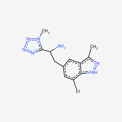 CCc1cc(CC(N)c2nnnn2C)cc2c(C)n[nH]c12